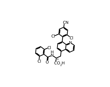 N#Cc1cc(Cl)c(-c2ccc(C[C@H](NC(=O)c3c(Cl)cccc3Cl)C(=O)O)c3cccnc23)c(Cl)c1